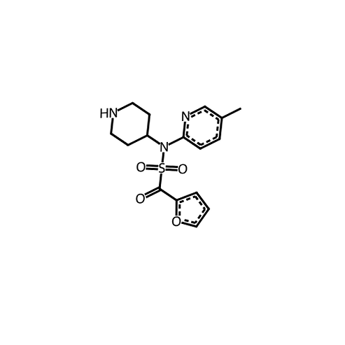 Cc1ccc(N(C2CCNCC2)S(=O)(=O)C(=O)c2ccco2)nc1